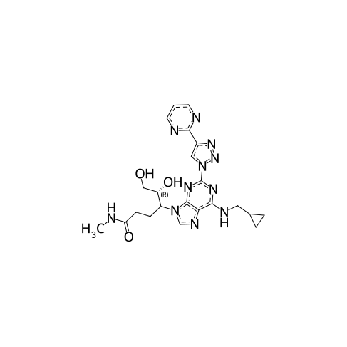 CNC(=O)CCC([C@@H](O)CO)n1cnc2c(NCC3CC3)nc(-n3cc(-c4ncccn4)nn3)nc21